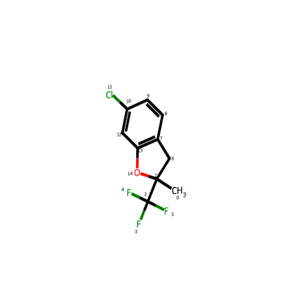 CC1(C(F)(F)F)Cc2ccc(Cl)cc2O1